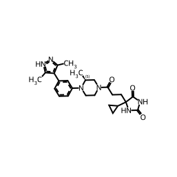 Cc1n[nH]c(C)c1-c1cccc(N2CCN(C(=O)CCC3(C4CC4)NC(=O)NC3=O)C[C@@H]2C)c1